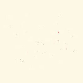 COCC1O[C@@H](O[C@@H]2C(NC(C)=O)[C@H](OCC3O[C@H](O[C@@H]4C(O)[C@H](OCC(O)C(O)C(O)COP(C)(C)=O)OC(CO[C@H]5OC(CO)[C@@H](O)[C@H](O)C5O)[C@@H]4O)C(NC(C)=O)[C@@H](O)[C@@H]3O)OC(CO)[C@@H]2O)C(O)[C@@H](O)[C@H]1O